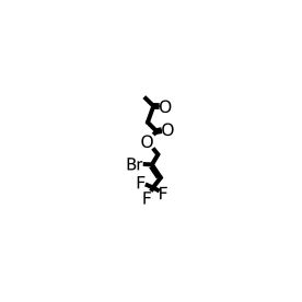 CC(=O)CC(=O)OC/C(Br)=C/C(F)(F)F